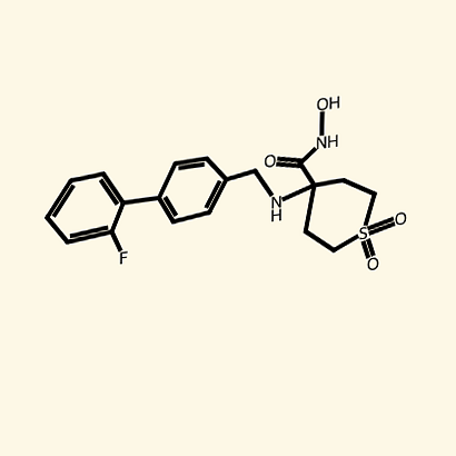 O=C(NO)C1(NCc2ccc(-c3ccccc3F)cc2)CCS(=O)(=O)CC1